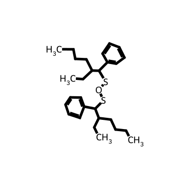 CCCCC(CC)C(SOSC(c1ccccc1)C(CC)CCCC)c1ccccc1